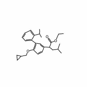 CCOC(=O)C(CC(C)C)c1ccc(OCC2CC2)c(-c2ccccc2C(C)C)c1